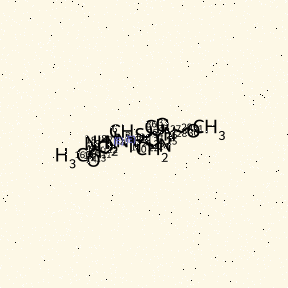 C=N/C(=C\N=C(/C)N1CCC2(CC1)CO[C@@H](C)[C@H]2N)Sc1ccc2ncn(CCCOC)c(=O)c2c1Cl